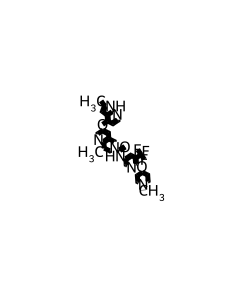 Cc1cc2c(Oc3cnc4c(c3)CN(C(=O)Nc3cnc(OC5CCN(C)CC5)c(C(F)(F)F)c3)CC4C)ccnc2[nH]1